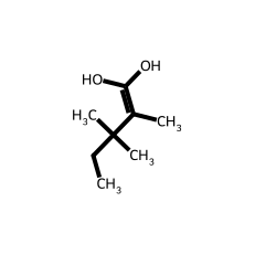 CCC(C)(C)C(C)=C(O)O